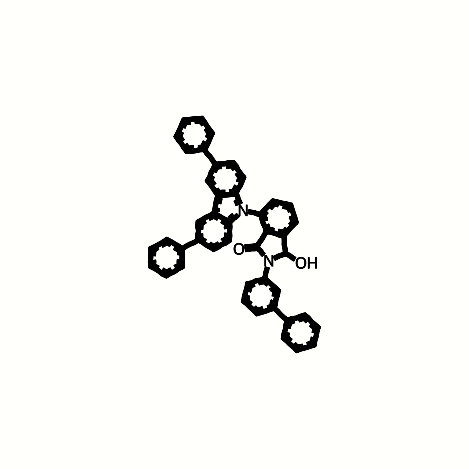 O=C1c2c(cccc2-n2c3ccc(-c4ccccc4)cc3c3cc(-c4ccccc4)ccc32)C(O)N1c1cccc(-c2ccccc2)c1